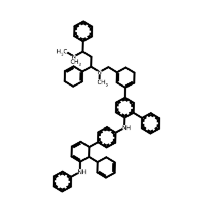 CN(C)C(CC(C1=CCCC=C1)N(C)CC1=CC(c2ccc(Nc3ccc(C4C=CC=C(Nc5ccccc5)C4C4C=CC=CC4)cc3)c(-c3ccccc3)c2)=CCC1)c1ccccc1